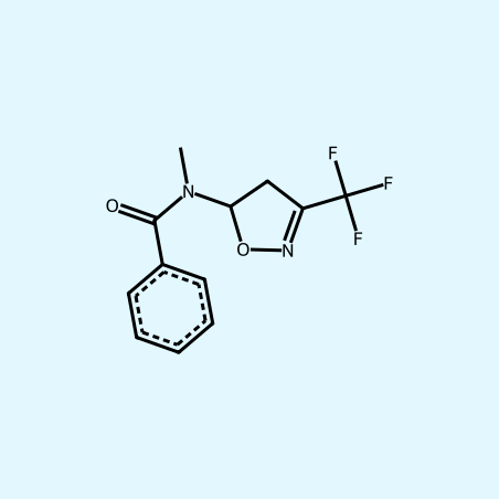 CN(C(=O)c1ccccc1)C1CC(C(F)(F)F)=NO1